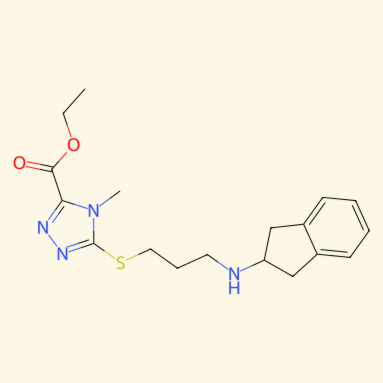 CCOC(=O)c1nnc(SCCCNC2Cc3ccccc3C2)n1C